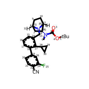 CN(C(=O)OC(C)(C)C)[C@@H]1C[C@@H]2CC[C@H]1N2Cc1cccc(-c2ccc(C#N)c(F)c2)c1C1CC1